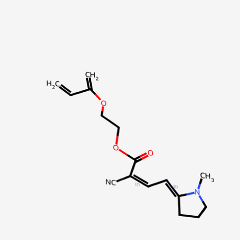 C=CC(=C)OCCOC(=O)/C(C#N)=C\C=C1/CCCN1C